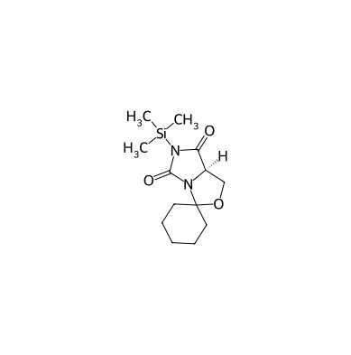 C[Si](C)(C)N1C(=O)[C@H]2COC3(CCCCC3)N2C1=O